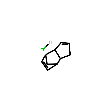 C1=CC2C3C=CC(C3)C2C1.[Cl][Ti]